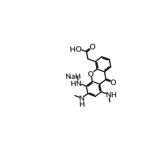 CNc1cc(NC)c2c(=O)c3cccc(CC(=O)O)c3oc2c1NC.[NaH]